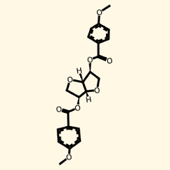 COc1ccc(C(=O)O[C@H]2CO[C@H]3[C@@H]2OC[C@@H]3OC(=O)c2ccc(OC)cc2)cc1